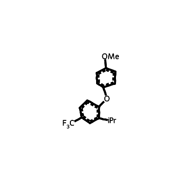 COc1ccc(Oc2ccc(C(F)(F)F)cc2C(C)C)cc1